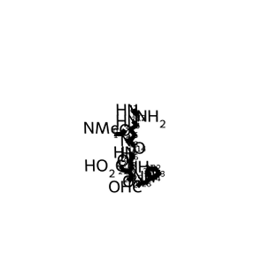 CNCC(=O)NC(CCCNC(=N)N)C(=O)NCC(=O)NC(CC(=O)O)C(=O)NC(C=O)Cc1ccccc1